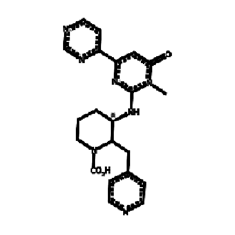 Cn1c(N[C@@H]2CCCN(C(=O)O)C2Cc2ccncc2)nc(-c2ccncn2)cc1=O